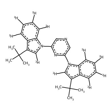 [2H]c1c([2H])c([2H])c2c(c1[2H])c(C(C)(C)C)c([2H])n2-c1cncc(-n2c([2H])c(C(C)(C)C)c3c([2H])c([2H])c([2H])c([2H])c32)n1